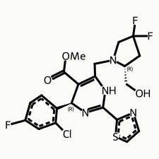 COC(=O)C1=C(CN2CC(F)(F)C[C@@H]2CO)NC(c2nccs2)=N[C@H]1c1ccc(F)cc1Cl